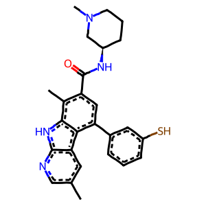 Cc1cnc2[nH]c3c(C)c(C(=O)N[C@@H]4CCCN(C)C4)cc(-c4cccc(S)c4)c3c2c1